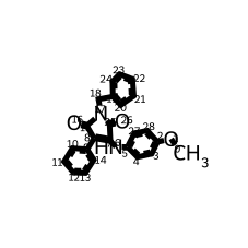 COc1ccc(NC2=C(c3ccccc3)C(=O)N(Cc3ccccc3)C2=O)cc1